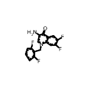 Nc1cn(Cc2c(F)cccc2F)c2cc(F)c(F)cc2c1=O